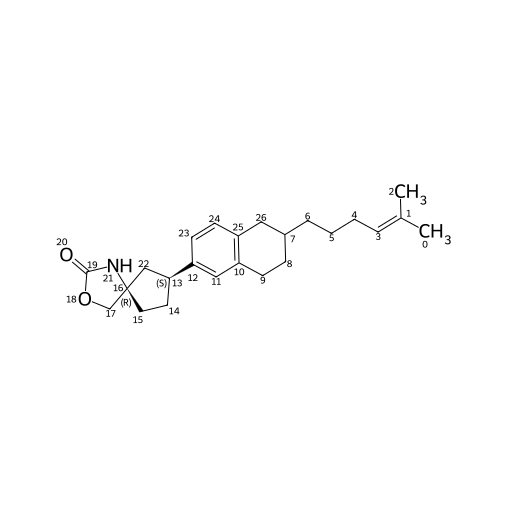 CC(C)=CCCCC1CCc2cc([C@H]3CC[C@]4(COC(=O)N4)C3)ccc2C1